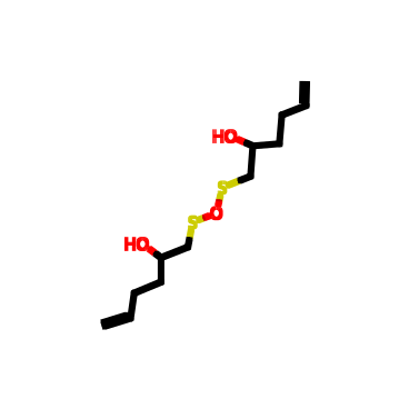 C=CCCC(O)CSOSCC(O)CCC=C